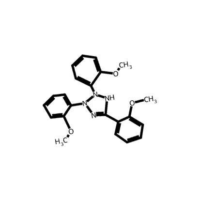 COc1ccccc1C1=NN(c2ccccc2OC)N(c2ccccc2OC)N1